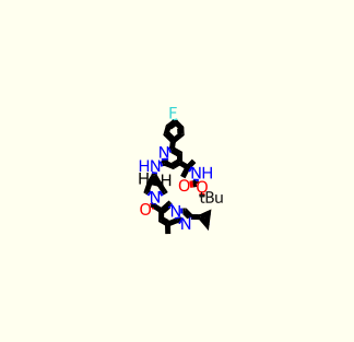 Cc1cc(C(=O)N2C[C@@H]3C(Nc4cc(C(C)(C)NC(=O)OC(C)(C)C)cc(-c5ccc(F)cc5)n4)[C@@H]3C2)cn2cc(C3CC3)nc12